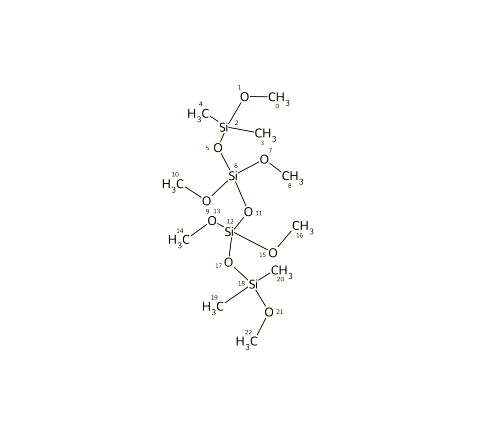 CO[Si](C)(C)O[Si](OC)(OC)O[Si](OC)(OC)O[Si](C)(C)OC